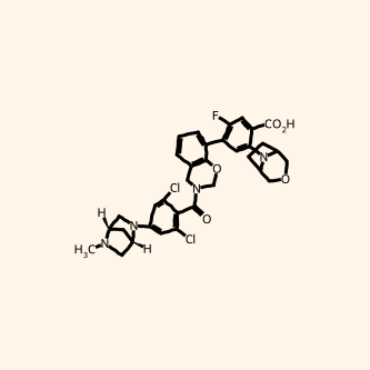 CN1C[C@@H]2C[C@H]1CN2c1cc(Cl)c(C(=O)N2COc3c(cccc3-c3cc(N4C5CCC4COC5)c(C(=O)O)cc3F)C2)c(Cl)c1